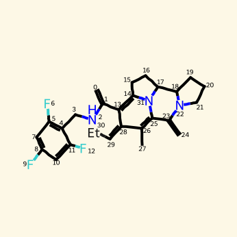 C=C(NCc1c(F)cc(F)cc1F)C1=C2CCC3C4CCCN4C(=C)C(=C(C)/C1=C/CC)N23